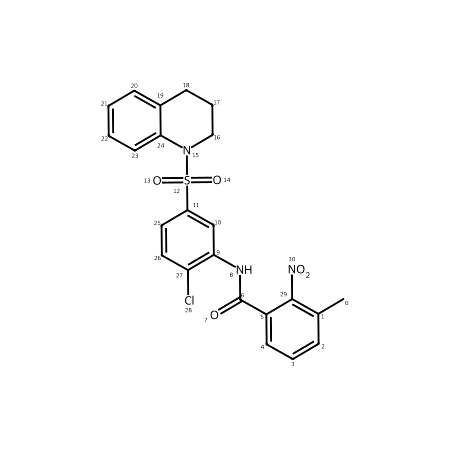 Cc1cccc(C(=O)Nc2cc(S(=O)(=O)N3CCCc4ccccc43)ccc2Cl)c1[N+](=O)[O-]